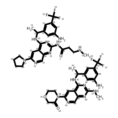 CNCCC(=O)Nc1nc(NC(C)c2cc(N)cc(C(F)(F)F)c2)c2cc(N3CCCC3)ncc2n1.CNc1nc(NC(C)c2cc(N)cc(C(F)(F)F)c2)c2cc(N3CCOCC3=O)ncc2n1